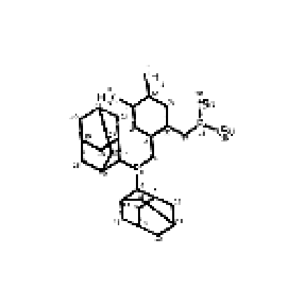 CC1CC(CP(C2C3CC4CC(C3)CC2C4)C2C3CC4CC(C3)CC2C4)C(CP(C(C)(C)C)C(C)(C)C)CC1C